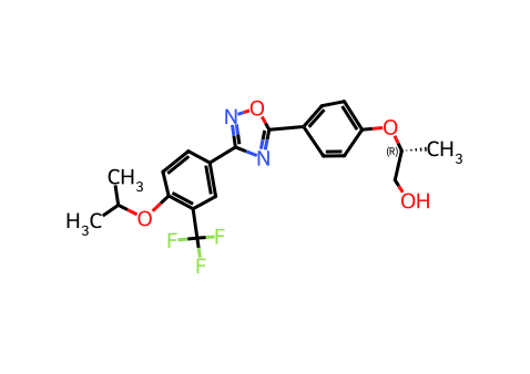 CC(C)Oc1ccc(-c2noc(-c3ccc(O[C@H](C)CO)cc3)n2)cc1C(F)(F)F